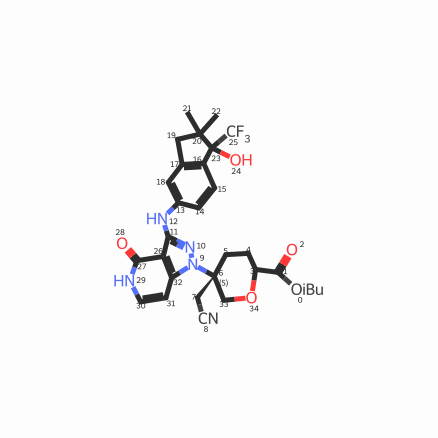 CC(C)COC(=O)C1CC[C@@](CC#N)(n2nc(Nc3ccc4c(c3)CC(C)(C)C4(O)C(F)(F)F)c3c(=O)[nH]ccc32)CO1